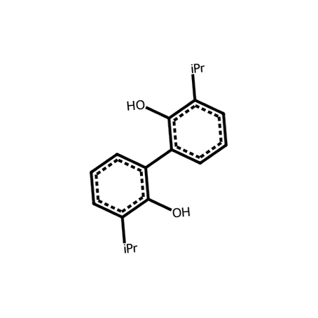 CC(C)c1cccc(-c2cccc(C(C)C)c2O)c1O